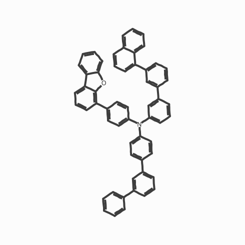 c1ccc(-c2cccc(-c3ccc(N(c4ccc(-c5cccc6c5oc5ccccc56)cc4)c4cccc(-c5cccc(-c6cccc7ccccc67)c5)c4)cc3)c2)cc1